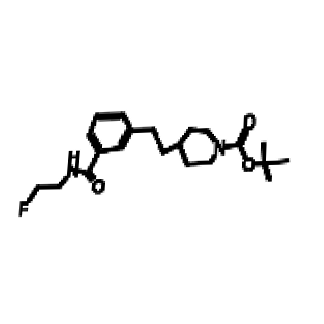 CC(C)(C)OC(=O)N1CCC(CCc2cccc(C(=O)NCCF)c2)CC1